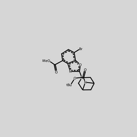 COC(=O)c1ccc(Br)c2oc(N3CC4CC(C3)N4C(=O)OC(C)(C)C)nc12